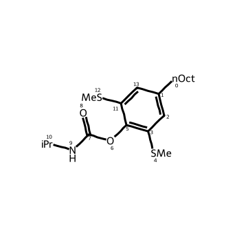 CCCCCCCCc1cc(SC)c(OC(=O)NC(C)C)c(SC)c1